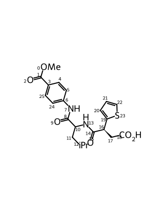 COC(=O)c1ccc(NC(=O)C(CC(C)C)NC(=O)[C@H](CC(=O)O)c2cccs2)cc1